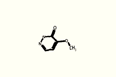 COC1=CC=N[N]C1=O